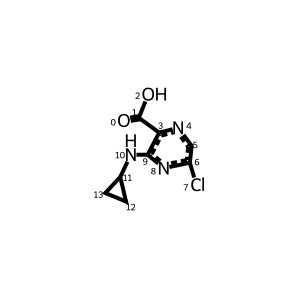 O=C(O)c1ncc(Cl)nc1NC1CC1